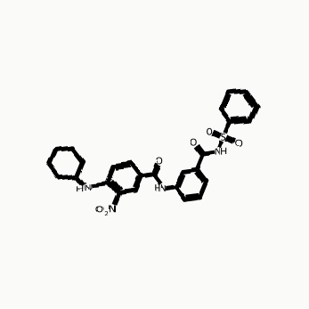 O=C(Nc1cccc(C(=O)NS(=O)(=O)c2ccccc2)c1)c1ccc(NC2CCCCC2)c([N+](=O)[O-])c1